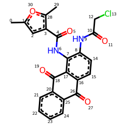 Cc1cc(C(=O)Nc2c(NC(=O)CCl)ccc3c2C(=O)c2ccccc2C3=O)c(C)o1